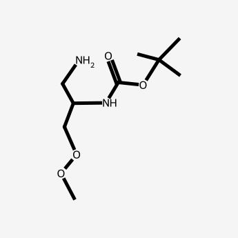 COOCC(CN)NC(=O)OC(C)(C)C